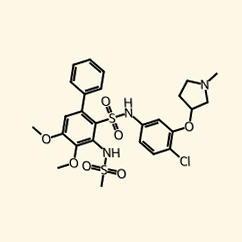 COc1cc(-c2ccccc2)c(S(=O)(=O)Nc2ccc(Cl)c(OC3CCN(C)C3)c2)c(NS(C)(=O)=O)c1OC